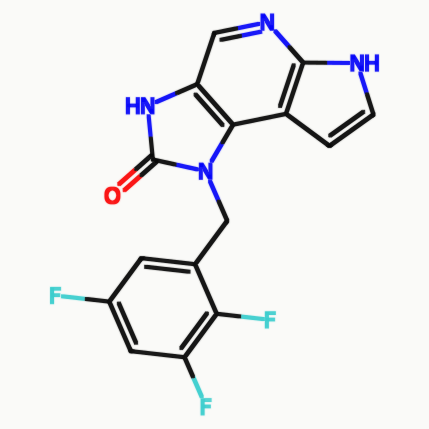 O=c1[nH]c2cnc3[nH]ccc3c2n1Cc1cc(F)cc(F)c1F